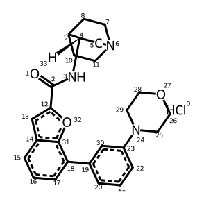 Cl.O=C(N[C@H]1CN2CCC1CC2)c1cc2cccc(-c3cccc(N4CCOCC4)c3)c2o1